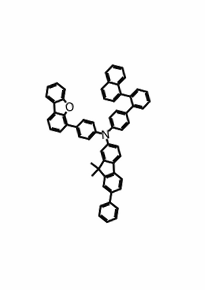 CC1(C)c2cc(-c3ccccc3)ccc2-c2ccc(N(c3ccc(-c4ccccc4-c4cccc5ccccc45)cc3)c3ccc(-c4cccc5c4oc4ccccc45)cc3)cc21